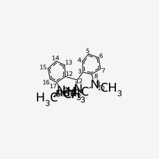 CCCCN=C(c1ccccc1N(C)C)c1ccccc1N(C)C